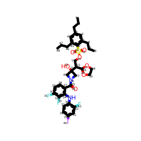 CCCc1cc(CCC)c(S(=O)(=O)OCC(C2OCCO2)C2(O)CN(C(=O)c3ccc(F)c(F)c3Nc3ccc(I)cc3F)C2)c(CCC)c1